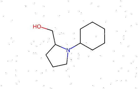 OCC1CCCN1C1CCCCC1